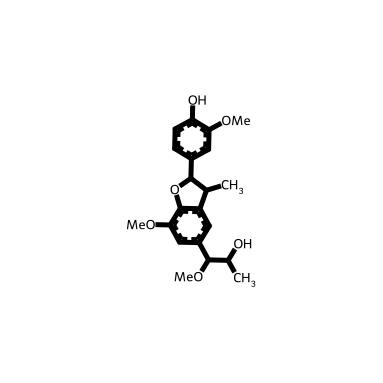 COc1cc(C2Oc3c(OC)cc(C(OC)C(C)O)cc3C2C)ccc1O